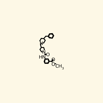 CCOC(=O)c1cccc(NC(=O)N2CCC(CN3CCC(Cc4ccccc4)CC3)CC2)c1